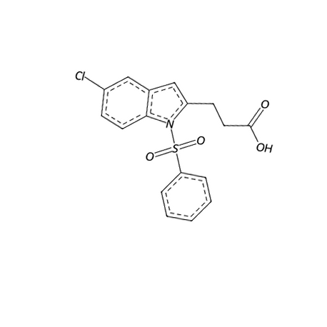 O=C(O)CCc1cc2cc(Cl)ccc2n1S(=O)(=O)c1ccccc1